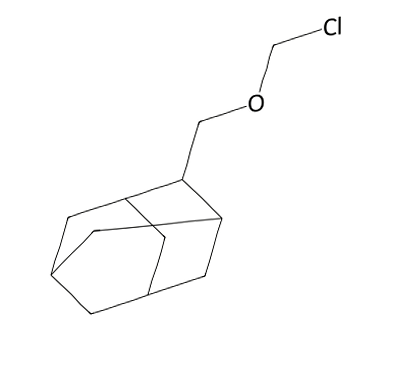 ClCOCC1C2CC3CC(C2)CC1C3